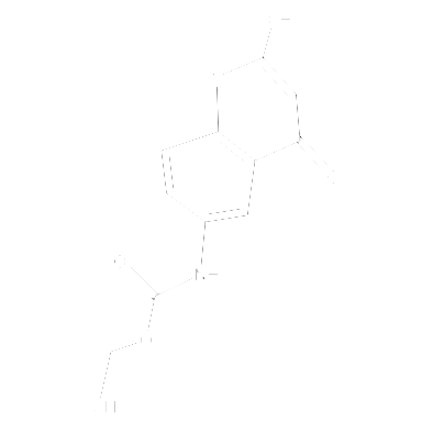 CCOC(=O)Nc1ccc2sc(C)cc(=O)c2c1